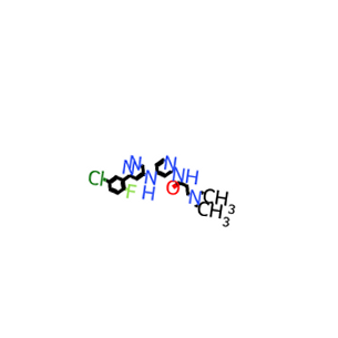 CCN(CC)CCC(=O)Nc1cc(Nc2cnnc(-c3cc(Cl)ccc3F)c2)ccn1